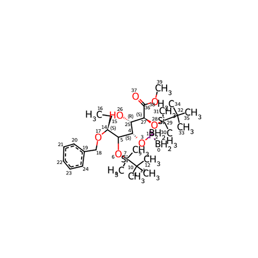 BP(B)O[C@H](C(O[Si](C)(C)C(C)(C)C)[C@H](CC)OCc1ccccc1)[C@H](O)[C@H](O[Si](C)(C)C(C)(C)C)C(=O)OC